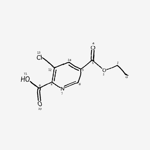 CCOC(=O)c1cnc(C(=O)O)c(Cl)c1